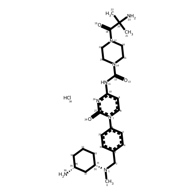 CN(Cc1ccc(-n2ccc(NC(=O)N3CCN(C(=O)C(C)(C)N)CC3)nc2=O)cc1)[C@H]1CCC[C@@H](N)C1.Cl